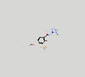 CCS(=O)(=O)c1c(OCC(F)(F)F)ccc(C(=O)Nc2nnnn2C)c1C